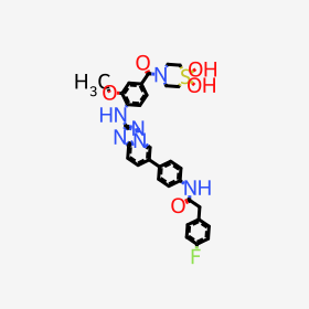 COc1cc(C(=O)N2CCS(O)(O)CC2)ccc1Nc1nc2ccc(-c3ccc(NC(=O)Cc4ccc(F)cc4)cc3)cn2n1